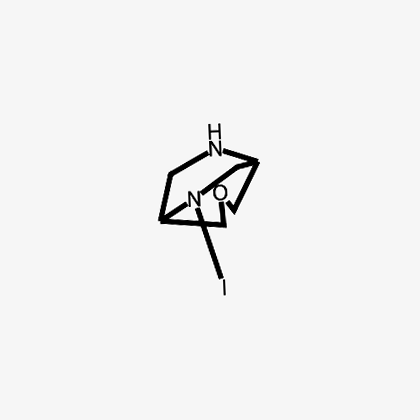 IN1CC2COCC1CN2